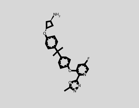 Cc1nnc(-c2ncc(F)cc2Oc2ccc(C(C)(C)c3ccc(O[C@H]4C[C@H](N)C4)cc3)cc2)o1